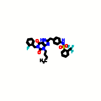 CCCCn1c(=O)n(Cc2ccccc2F)c(=O)c2[nH]c(Cc3ccc(NS(=O)(=O)c4ccccc4C(F)(F)F)cc3)nc21